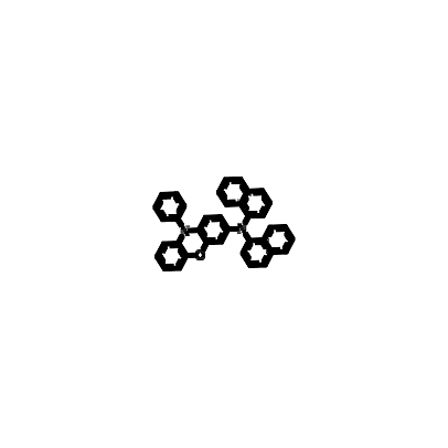 c1ccc(N2c3ccccc3Oc3cc(N(c4cccc5ccccc45)c4cccc5ccccc45)ccc32)cc1